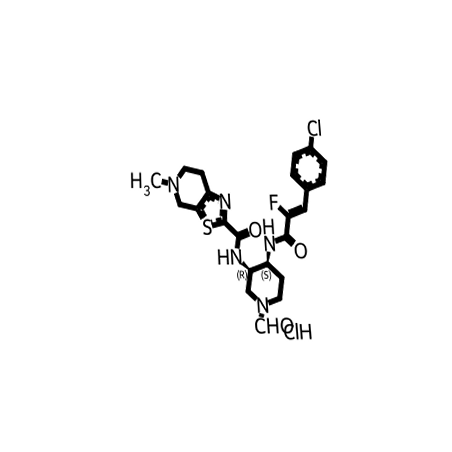 CN1CCc2nc(C(=O)N[C@@H]3CN(C=O)CC[C@@H]3NC(=O)C(F)=Cc3ccc(Cl)cc3)sc2C1.Cl